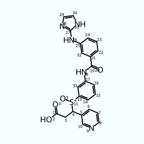 O=C(O)CC(c1cccnc1)[S+]([O-])c1cccc(NC(=O)c2cccc(Nc3ncc[nH]3)c2)c1